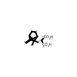 C=C1C2CCC(C2)C1(C)C.O=C(O)CC(=O)O